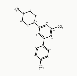 NC1CCN(c2nc(-c3ccc(C(Cl)(Cl)Cl)cc3)nc(C(Cl)(Cl)Cl)n2)CC1